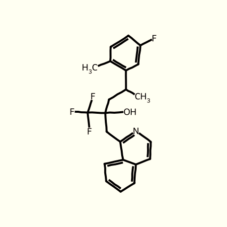 Cc1ccc(F)cc1C(C)CC(O)(Cc1nccc2ccccc12)C(F)(F)F